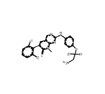 CCC(CC)(CN)Oc1ccc(Nc2ncc3cc(-c4c(Cl)cccc4Cl)c(=O)n(C)c3n2)cc1